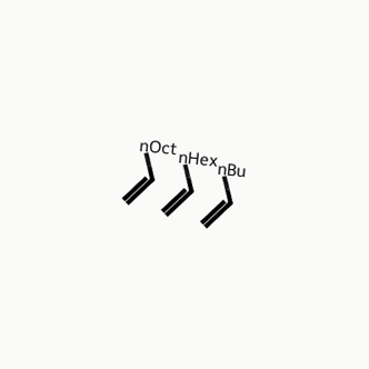 C=CCCCC.C=CCCCCCC.C=CCCCCCCCC